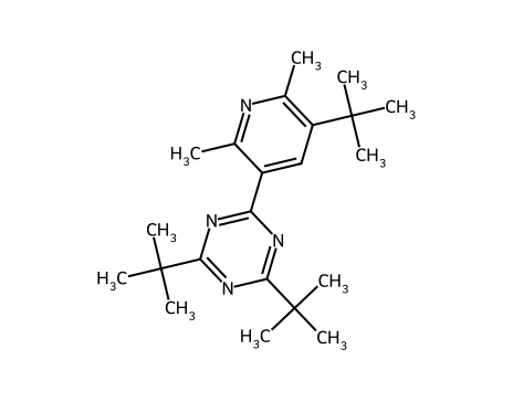 Cc1nc(C)c(C(C)(C)C)cc1-c1nc(C(C)(C)C)nc(C(C)(C)C)n1